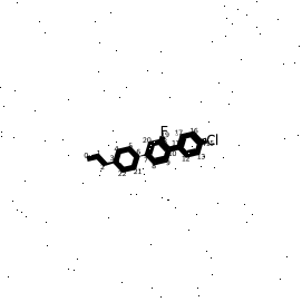 CCC[C@H]1CC[C@H](c2ccc(-c3ccc(Cl)cc3)c(F)c2)CC1